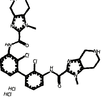 Cl.Cl.Cn1c(C(=O)Nc2cccc(-c3cccc(NC(=O)c4nc5c(n4C)CCNC5)c3Cl)c2Cl)nc2c1CCNC2